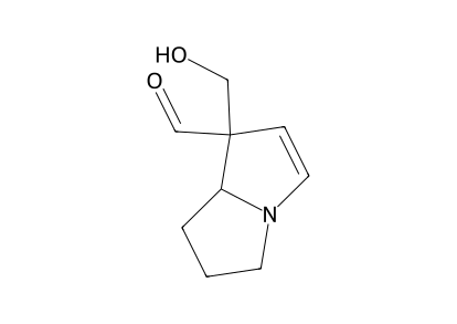 O=CC1(CO)C=CN2CCCC21